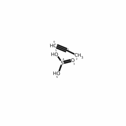 C#CC.O=S(O)O